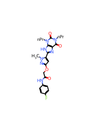 CCCn1c(=O)c2nc(-c3cc(OCC(=O)Nc4ccc(F)cc4)nn3C)[nH]c2n(CCC)c1=O